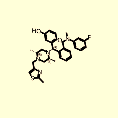 Cc1nc(CN2C[C@H](C)N([C@H](c3cccc(O)c3)c3ccccc3C(=O)N(C)c3cccc(F)c3)C[C@H]2C)cs1